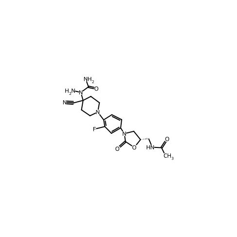 CC(=O)NC[C@H]1CN(c2ccc(N3CCC(C#N)(N(N)C(N)=O)CC3)c(F)c2)C(=O)O1